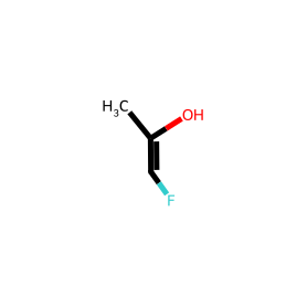 CC(O)=CF